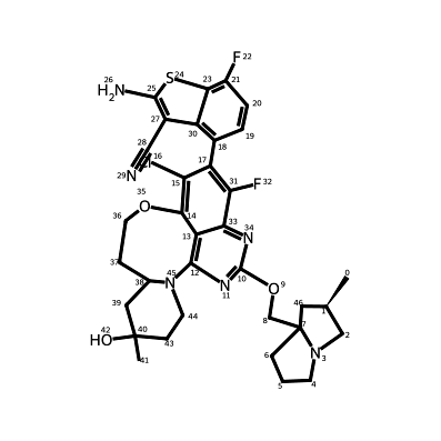 C[C@H]1CN2CCCC2(COc2nc3c4c(c(Cl)c(-c5ccc(F)c6sc(N)c(C#N)c56)c(F)c4n2)OCCC2CC(C)(O)CCN32)C1